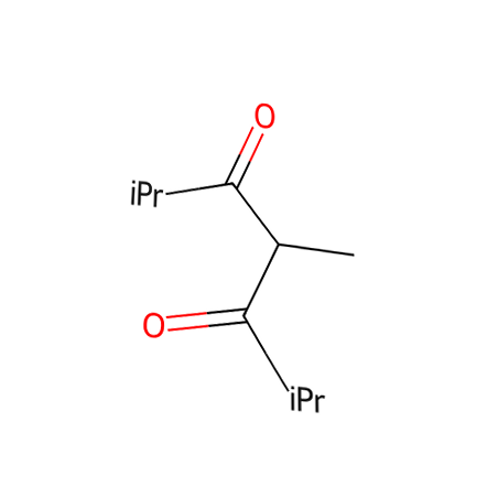 CC(C)C(=O)C(C)C(=O)C(C)C